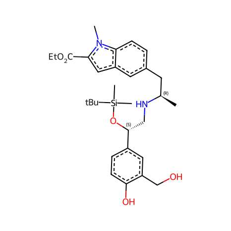 CCOC(=O)c1cc2cc(C[C@@H](C)NC[C@@H](O[Si](C)(C)C(C)(C)C)c3ccc(O)c(CO)c3)ccc2n1C